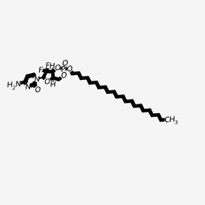 CCCCCCCCCCCCCCCCCCCCCCOP1(=O)OC[C@H]2O[C@@H](n3ccc(N)nc3=O)C(F)(F)[C@@H]2O1